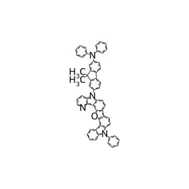 CC1(C)c2cc(N(c3ccccc3)c3ccccc3)ccc2-c2ccc(-n3c4cccnc4c4c5oc6c(ccc7c6c6ccccc6n7-c6ccccc6)c5ccc43)cc21